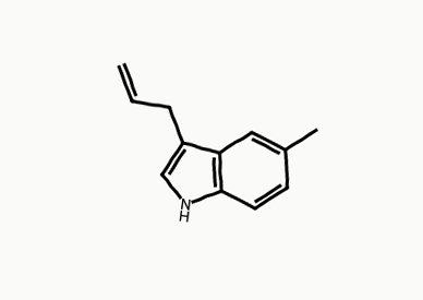 C=CCc1c[nH]c2ccc(C)cc12